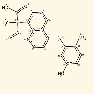 CC(=O)S(C)(N=O)c1cccc2c(Nc3cc(O)ccc3C)ccnc12